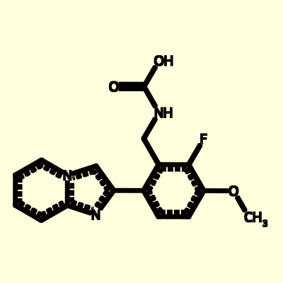 COc1ccc(-c2cn3ccccc3n2)c(CNC(=O)O)c1F